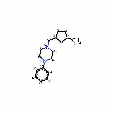 CC1CCC(CN2CCN(c3ccccc3)CC2)C1